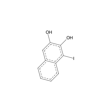 Oc1cc2ccccc2c(I)c1O